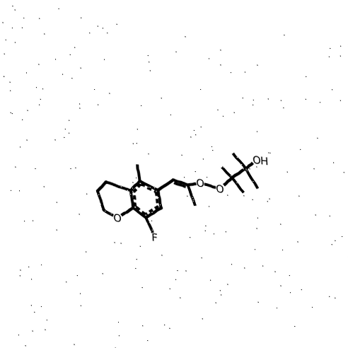 C/C(=C\c1cc(F)c2c(c1C)CCCO2)OOC(C)(C)C(C)(C)O